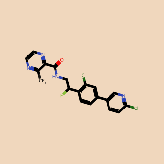 O=C(NCC(F)c1ccc(-c2ccc(Cl)nc2)cc1Cl)c1nccnc1C(F)(F)F